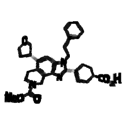 COC(=O)N1CCc2c([C@@H]3CCOC3)cc3c(nc([C@H]4CC[C@H](C(=O)O)CC4)n3CCc3ccccc3)c2C1